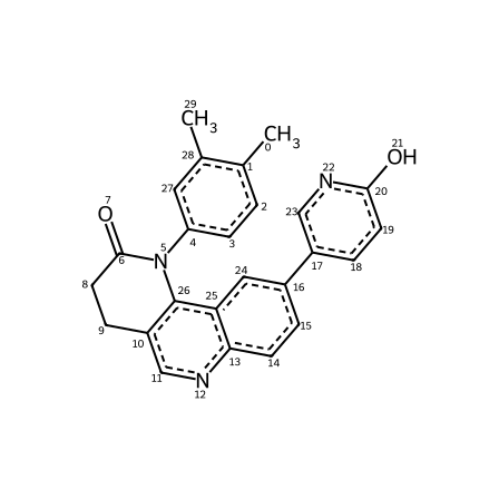 Cc1ccc(N2C(=O)CCc3cnc4ccc(-c5ccc(O)nc5)cc4c32)cc1C